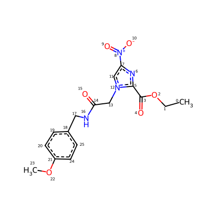 CCOC(=O)c1nc([N+](=O)[O-])cn1CC(=O)NCc1ccc(OC)cc1